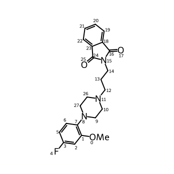 COc1cc(F)ccc1N1CCN(CCCN2C(=O)c3ccccc3C2=O)CC1